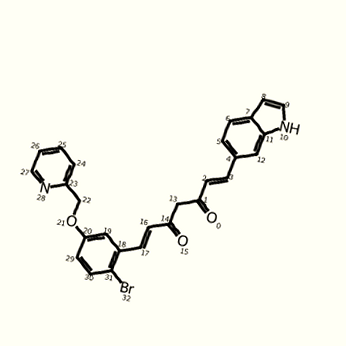 O=C(/C=C/c1ccc2cc[nH]c2c1)CC(=O)/C=C/c1cc(OCc2ccccn2)ccc1Br